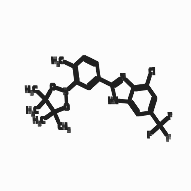 Cc1ccc(-c2nc3c(Cl)cc(C(F)(F)F)cc3[nH]2)cc1B1OC(C)(C)C(C)(C)O1